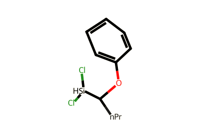 CCCC(Oc1ccccc1)[SiH](Cl)Cl